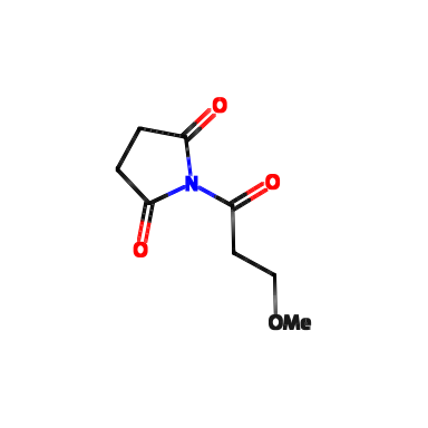 COCCC(=O)N1C(=O)CCC1=O